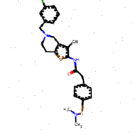 CN(C)Sc1ccc(CC(=O)Nc2sc3c(c2C#N)CN(Cc2cccc(F)c2)CC3)cc1